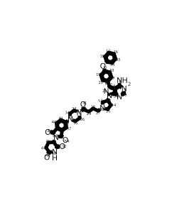 Nc1ncnc2c1c(-c1ccc(Oc3ccccc3)cc1)nn2C1CCN(CCCC(=O)N2CCN(c3[c]c4c(cc3)C(=O)N(C3CCC(=O)NC3=O)C4=O)CC2)C1